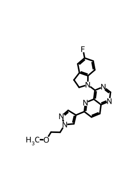 COCCn1cc(-c2ccc3ncnc(N4CCc5cc(F)ccc54)c3n2)cn1